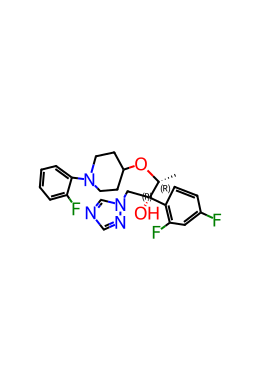 C[C@@H](OC1CCN(c2ccccc2F)CC1)[C@](O)(Cn1cncn1)c1ccc(F)cc1F